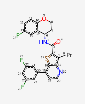 CC(C)c1c(C(=O)N[C@H]2CCOc3ccc(F)cc32)sc2c(-c3cc(F)cc(F)c3)ccnc12